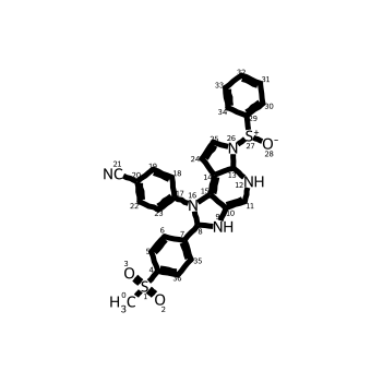 CS(=O)(=O)c1ccc(C2NC3=CNC4C(=C3N2c2ccc(C#N)cc2)C=CN4[S+]([O-])c2ccccc2)cc1